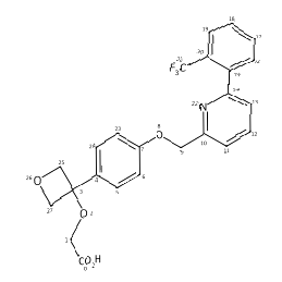 O=C(O)COC1(c2ccc(OCc3cccc(-c4ccccc4C(F)(F)F)n3)cc2)COC1